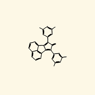 O=C1C(c2cc(F)cc(F)c2)=C2C(=C1c1cc(F)cc(F)c1)c1cccc3cccc2c13